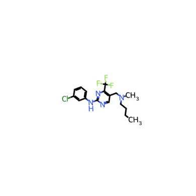 CCCCN(C)Cc1cnc(Nc2cccc(Cl)c2)nc1C(F)(F)F